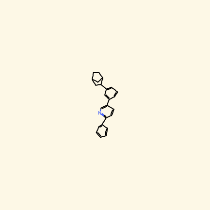 c1ccc(-c2ccc(-c3cccc(C4CC5CCC4C5)c3)cn2)cc1